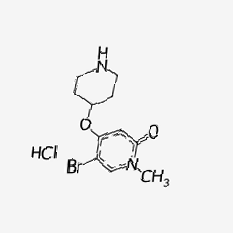 Cl.Cn1cc(Br)c(OC2CCNCC2)cc1=O